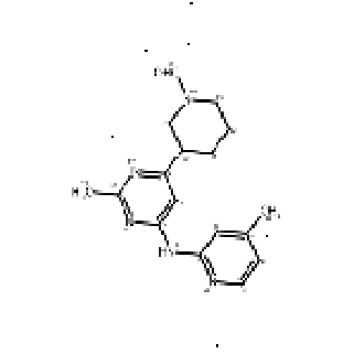 Cc1ccnc(Nc2cc(C3CCCN(C=O)C3)nc(C)n2)c1